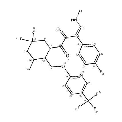 CN/C=C(\C(=N)C(=O)N1CC(F)(F)CC(C)C1COc1ccc(C(F)(F)F)cn1)c1ccc(F)cc1